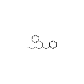 [CH2]CCCC(Cc1ccccc1)Cc1ccccc1